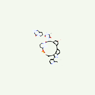 CCn1c(-c2cccnc2[C@H](C)OC)c2c3cc(ccc31)-c1cc(O)cc(c1)C[C@H](NC(=O)[C@H](C(C)C)N(C)C(=O)[C@H]1C[C@@H]3CNCC(=O)N3C1)C(=O)N1CCC[C@@](C3=CS3)(N1)C(=O)OCC(C)(C)C2